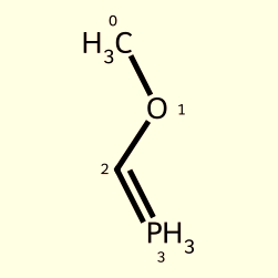 COC=[PH3]